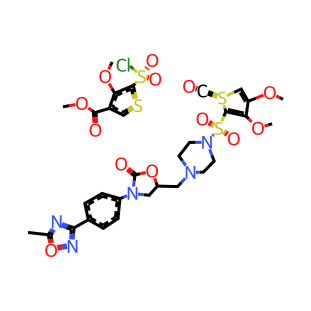 COC(=O)c1csc(S(=O)(=O)Cl)c1OC.COC1=CS(=C=O)C(S(=O)(=O)N2CCN(CC3CN(c4ccc(-c5noc(C)n5)cc4)C(=O)O3)CC2)=C1OC